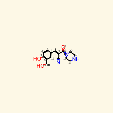 N#C/C(=C\c1ccc(O)c(CO)c1)C(=O)N1CCNCC1